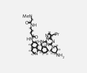 CNCC(=O)NC/C=C/C(=O)Nc1ccc2c(-c3ccccc3CNc3nc(N4CCC(N)CC4)nc4c(C(C)C)cnn34)nccc2c1